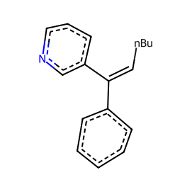 CCCC/C=C(/c1ccccc1)c1cccnc1